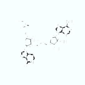 COP(=O)(O)OC[C@H]1O[C@@H](n2cnc3c(=O)[nH]ccc32)[C@H](OP(=O)(O)OC[C@H]2O[C@@H](n3cnc4c(N)ncnc43)[C@H](O)[C@@H]2C)[C@@H]1O